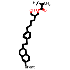 C=C(C)C(=O)OCC(CO)CCCCc1ccc(CCC2CCC3C=C(CCCCC)C=CC3C2)cc1